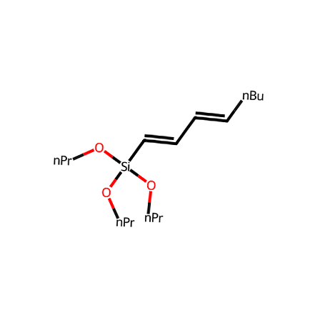 CCCC/C=C/C=C/[Si](OCCC)(OCCC)OCCC